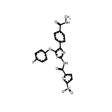 CNC(=O)c1ccc(-c2nc(NC(=O)c3ccc([N+](=O)[O-])s3)sc2Oc2ccc(F)cc2)cc1